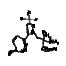 CC(C)(N)Cn1nc(C(F)(F)F)cc1-c1ccc(=O)[nH]n1.Cl